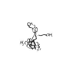 C=CCOC(=O)N1C[C@H](O[Si](C)(C)C(C)(C)C)C[C@H]1CCCO